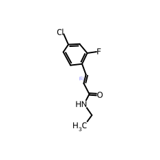 CCNC(=O)/C=C/c1ccc(Cl)cc1F